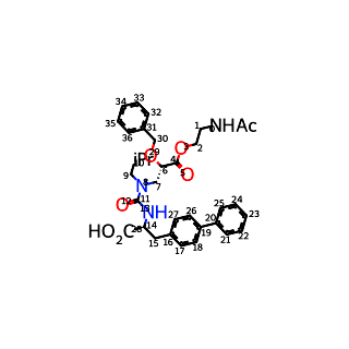 CC(=O)NCCOC(=O)[C@H](CN(CC(C)C)C(=O)N[C@@H](Cc1ccc(-c2ccccc2)cc1)C(=O)O)OCc1ccccc1